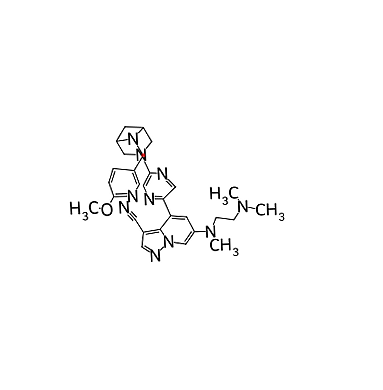 COc1ccc(CN2C3CC2CN(c2cnc(-c4cc(N(C)CCN(C)C)cn5ncc(C#N)c45)cn2)C3)cn1